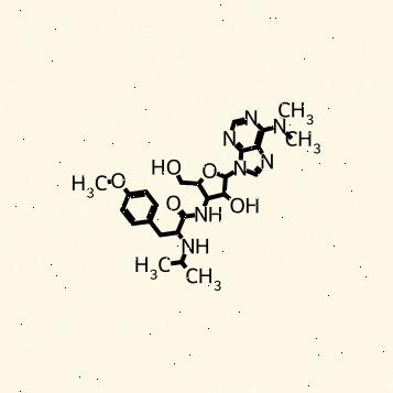 COc1ccc(CC(NC(C)C)C(=O)NC2C(CO)OC(n3cnc4c(N(C)C)ncnc43)C2O)cc1